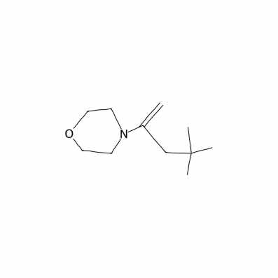 C=C(CC(C)(C)C)N1CCOCC1